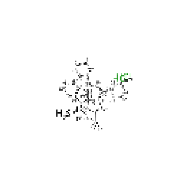 CC1=Cc2c(-c3ccccc3)cccc2[CH]1[Ti]([CH3])([CH3])(=[SiH2])[CH]1C(C2CC2)=Cc2c(-c3ccccc3)cccc21.Cl.Cl